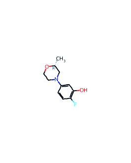 C[C@@H]1CN(c2ccc(F)c(O)c2)CCO1